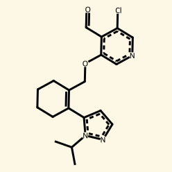 CC(C)n1nccc1C1=C(COc2cncc(Cl)c2C=O)CCCC1